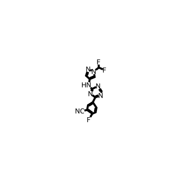 N#Cc1cc(-c2ncnc(Nc3cnn(C(F)F)c3)n2)ccc1F